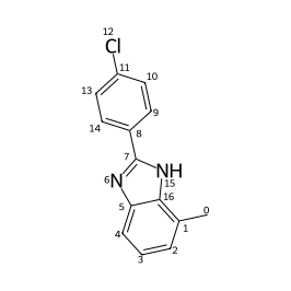 Cc1cccc2nc(-c3ccc(Cl)cc3)[nH]c12